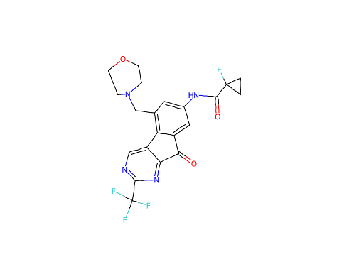 O=C1c2cc(NC(=O)C3(F)CC3)cc(CN3CCOCC3)c2-c2cnc(C(F)(F)F)nc21